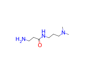 CN(C)CCCNC(=O)CCN